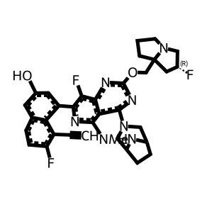 C#Cc1c(F)ccc2cc(O)cc(-c3nc(NC)c4c(N5CC6CCC(C5)N6)nc(OCC56CCCN5C[C@H](F)C6)nc4c3F)c12